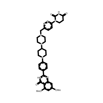 COc1cc(OC)c2c(=O)[nH]c(-c3ccc(N4CCC(N5CCN(Cc6ccc(N7CCC(=O)NC7=O)nn6)CC5)CC4)cc3)nc2c1